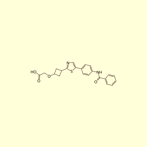 O=C(O)COC1CC(c2ncc(-c3ccc(NC(=O)c4ccccc4)cc3)s2)C1